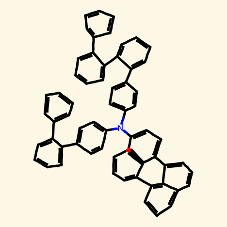 c1ccc(-c2ccccc2-c2ccc(N(c3ccc(-c4ccccc4-c4ccccc4-c4ccccc4)cc3)c3ccc(-c4cccc5cccc(-c6ccccc6)c45)cc3)cc2)cc1